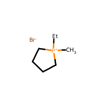 CC[P+]1(C)CCCC1.[Br-]